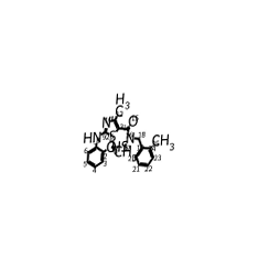 COc1ccccc1Nc1nc(C)c(C(=O)N(S)Cc2ccccc2C)s1